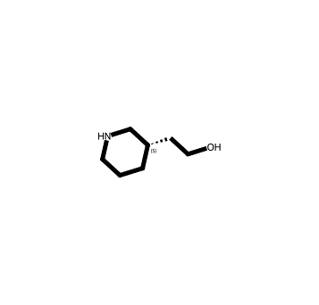 OCC[C@@H]1CCCNC1